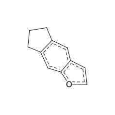 c1cc2cc3c(cc2o1)CCC3